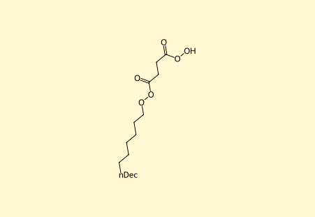 CCCCCCCCCCCCCCCCOOC(=O)CCC(=O)OO